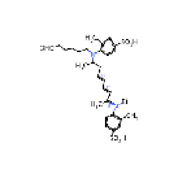 CC\[N+](=C(C)/C=C/C=C/CC(C)N(CCCCCC=O)c1ccc(S(=O)(=O)O)cc1C)c1ccc(S(=O)(=O)O)cc1C